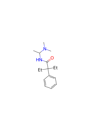 CCC(CC)(C(=O)NC(C)N(C)C)c1ccccc1